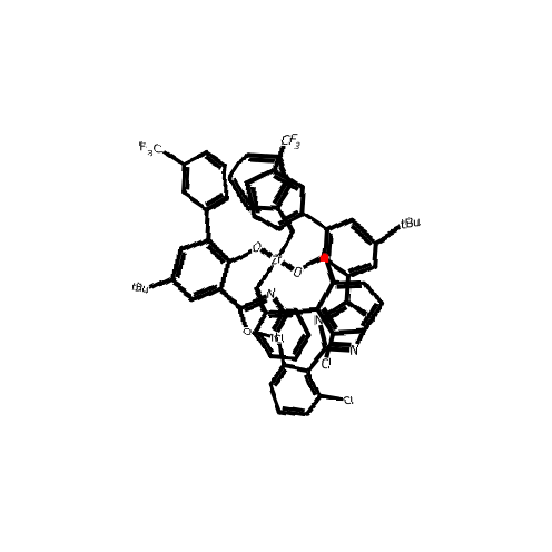 CC(C)(C)c1cc(-c2cccc(C(F)(F)F)c2)c([O][Zr]([CH2]c2ccccc2)([CH2]c2ccccc2)[O]c2c(-c3cccc(C(F)(F)F)c3)cc(C(C)(C)C)cc2-c2nc(-c3c(Cl)cccc3Cl)no2)c(-c2nc(-c3c(Cl)cccc3Cl)no2)c1